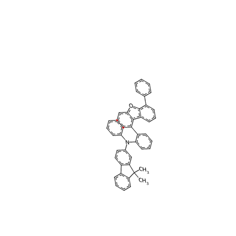 CC1(C)c2ccccc2-c2ccc(N(c3ccccc3)c3ccccc3-c3cccc4oc5c(-c6ccccc6)cccc5c34)cc21